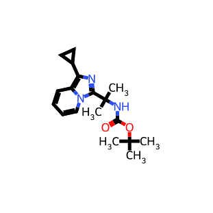 CC(C)(C)OC(=O)NC(C)(C)c1nc(C2CC2)c2ccccn12